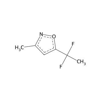 Cc1cc(C(C)(F)F)on1